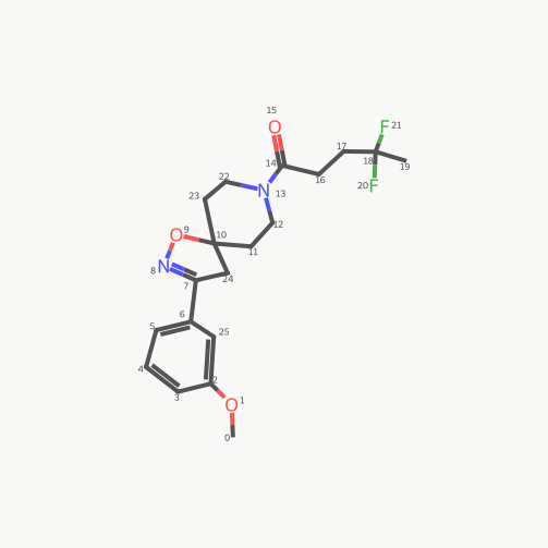 COc1cccc(C2=NOC3(CCN(C(=O)CCC(C)(F)F)CC3)C2)c1